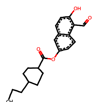 CCCC1CCC(C(=O)Oc2ccc3c(C=O)c(O)ccc3c2)CC1